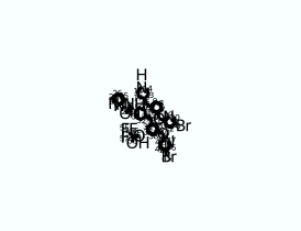 Brc1ccc(Oc2cccc(C=C3CCNCC3)c2)nc1.O=C(Nc1cccnn1)N1CCC(=Cc2cccc(Oc3ccc(Br)cn3)c2)CC1.O=C(O)C(F)(F)F